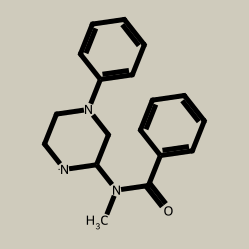 CN(C(=O)c1ccccc1)C1CN(c2ccccc2)CC[N]1